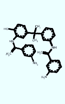 C=C(Nc1cccc(C(C)(C)c2ccc(O)c(NC(=C)c3cccc(N)c3)c2)c1)c1cccc(N)c1